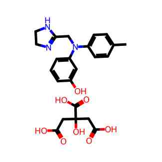 Cc1ccc(N(CC2=NCCN2)c2cccc(O)c2)cc1.O=C(O)CC(O)(CC(=O)O)C(=O)O